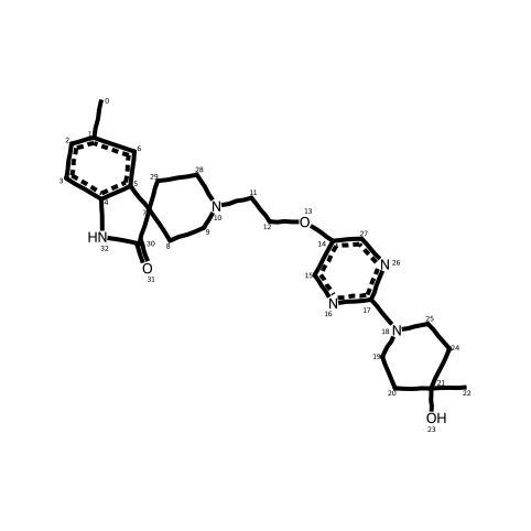 Cc1ccc2c(c1)C1(CCN(CCOc3cnc(N4CCC(C)(O)CC4)nc3)CC1)C(=O)N2